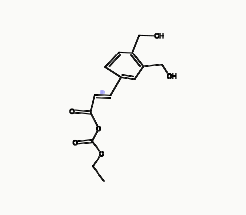 CCOC(=O)OC(=O)/C=C/c1ccc(CO)c(CO)c1